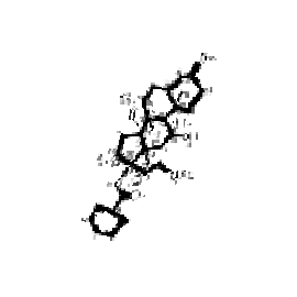 CC(=O)OCC(=O)[C@]1(OC(=O)c2ccccc2)[C@H](C)C[C@H]2[C@H]3[C@H]([C@@H](O)C[C@@]21C)[C@@]1(C)C=CC(=O)C=C1C[C@H]3Br